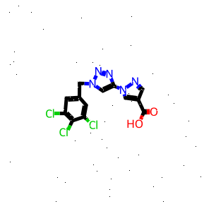 O=C(O)c1cnn(-c2cn(Cc3cc(Cl)c(Cl)c(Cl)c3)nn2)c1